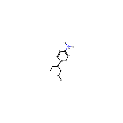 CCCC(CC)c1ccc(N(C)C)cc1